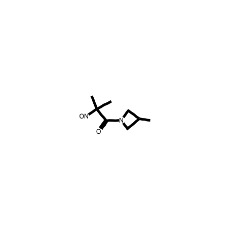 CC1CN(C(=O)C(C)(C)N=O)C1